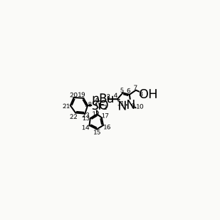 CCCC[Si](OCc1cc(CO)n(C)n1)(c1ccccc1)c1ccccc1